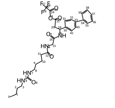 CCCCNC(=O)NCCCCC(=O)NCC(=O)NC(CC(=O)OC(=O)C(F)(F)F)c1ccc(-c2ccccc2)cc1